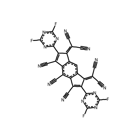 N#CC(C#N)=C1C(c2nc(F)nc(F)n2)=C(C#N)c2c1cc1c(c2C#N)C(C#N)=C(c2nc(F)nc(F)n2)C1=C(C#N)C#N